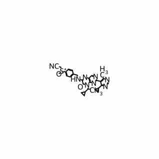 Cc1ncnc(C2CC2)c1-c1ncc2nc(NCc3ccc([S+]([O-])CC#N)cc3)c(=O)n(C(C)C3CC3)c2n1